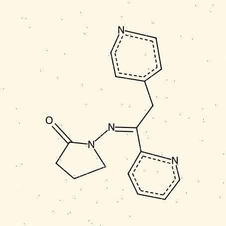 O=C1CCCN1N=C(Cc1ccncc1)c1ccccn1